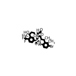 Cc1c(Br)ccc(F)c1[C@@H](C)[C@H](NS(=O)(=O)c1ccc(C(F)(F)F)c2c1OCCC2(C)O)c1n[nH]c(=O)o1